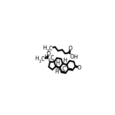 CC(=O)[C@H]1CC[C@H]2[C@@H]3C=CC4=CC(=O)CC[C@@]4(C)[C@@H]3CC[C@]12C.CCCCCC(=O)O